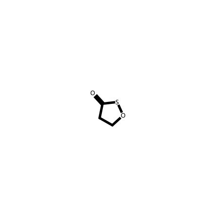 O=C1CCOS1